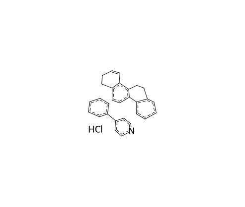 C1=Cc2c(ccc3c2CCc2ccccc2-3)CC1.Cl.c1ccc(-c2ccncc2)cc1